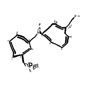 CCCCCc1cccc(Oc2cccc(F)c2)c1